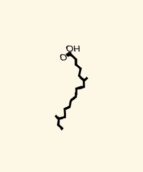 CCC(C)CCCCCCCC(C)CCCCC(=O)O